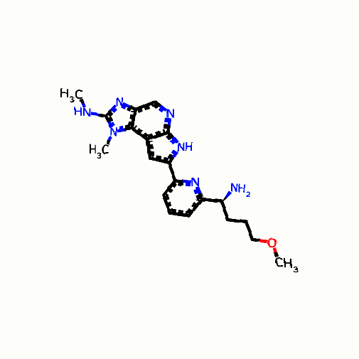 CNc1nc2cnc3[nH]c(-c4cccc([C@@H](N)CCCOC)n4)cc3c2n1C